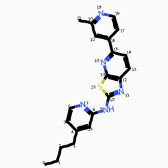 CCCCc1ccnc(Nc2nc3ccc(-c4ccnc(C)c4)nc3s2)c1